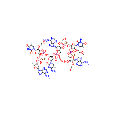 CC[C@H]1O[C@@H](n2cnc3c(N)ncnc32)C[C@H]1OP(=O)(S)OC[C@H]1O[C@@H](n2cc(C)c(=O)[nH]c2=O)C(OCCOC)[C@H]1OP(=O)(O)OC[C@H]1O[C@@H](n2cc(C)c(N)nc2=O)C(OCCOC)[C@H]1OP(=O)(O)OC[C@H]1O[C@@H](n2cnc3c(N)ncnc32)C(OCCOC)[C@H]1OP(=O)(S)OC[C@H]1O[C@@H](n2cc(C)c(=O)[nH]c2=O)C(OCCOC)[C@H]1OP(=O)(S)OC[C@H]1O[C@@H](n2cnc3c(N)ncnc32)C(OCCOC)[C@H]1O